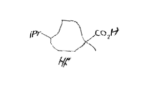 CC(C)C1CCC(C)(C(=O)O)CC1.F